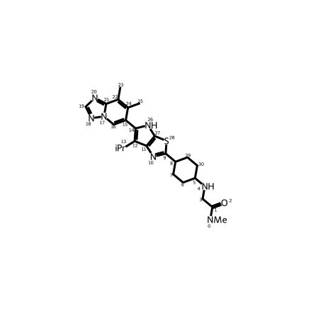 CNC(=O)CNC1CCC(c2nc3c(C(C)C)c(-c4cn5ncnc5c(C)c4C)[nH]c3s2)CC1